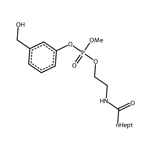 CCCCCCCC(=O)NCCOP(=O)(OC)Oc1cccc(CO)c1